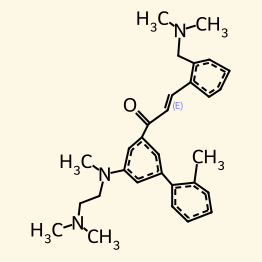 Cc1ccccc1-c1cc(C(=O)/C=C/c2ccccc2CN(C)C)cc(N(C)CCN(C)C)c1